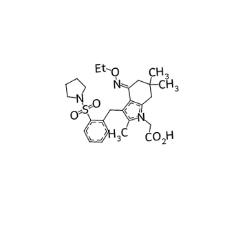 CCON=C1CC(C)(C)Cc2c1c(Cc1ccccc1S(=O)(=O)N1CCCC1)c(C)n2CC(=O)O